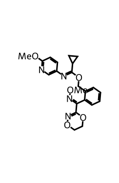 CON=C(C1=NOCCO1)c1ccccc1COC(=Nc1ccc(OC)nc1)C1CC1